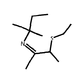 CCSC(C)/C(C)=N\C(C)(C)CC